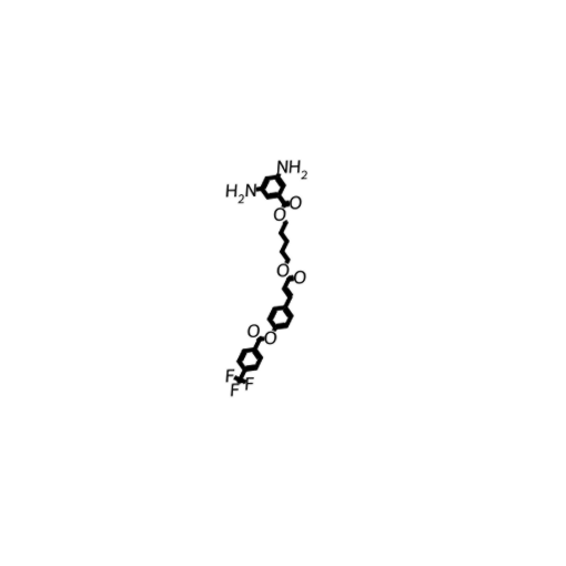 Nc1cc(N)cc(C(=O)OCCCCCOC(=O)C=Cc2ccc(OC(=O)c3ccc(C(F)(F)F)cc3)cc2)c1